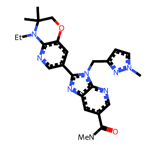 CCN1c2ncc(-c3nc4cc(C(=O)NC)cnc4n3Cc3ccn(C)n3)cc2OCC1(C)C